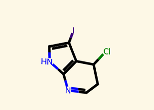 ClC1CC=Nc2[nH]cc(I)c21